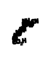 C[C@@H](c1cccc(Cn2cc(-c3cc(-c4cccc(C#N)c4)nc(N)n3)nn2)n1)N1CCC(C(=O)O)CC1